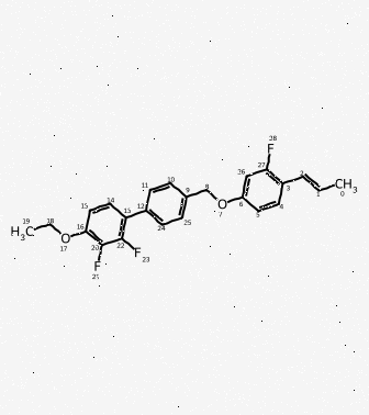 C/C=C/c1ccc(OCc2ccc(-c3ccc(OCC)c(F)c3F)cc2)cc1F